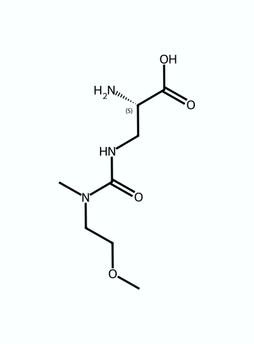 COCCN(C)C(=O)NC[C@H](N)C(=O)O